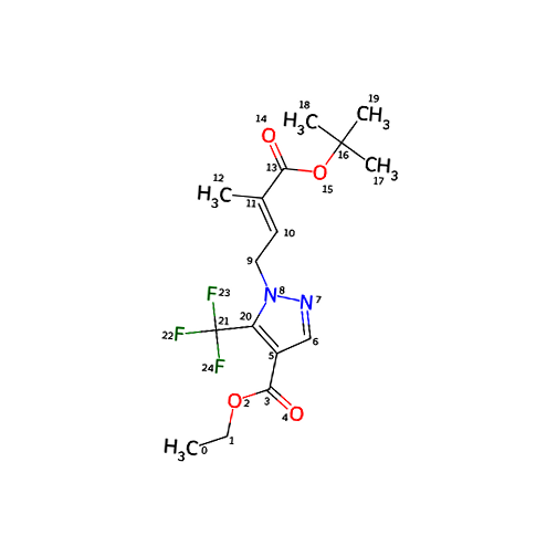 CCOC(=O)c1cnn(C/C=C(\C)C(=O)OC(C)(C)C)c1C(F)(F)F